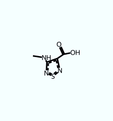 CNc1nsnc1C(=O)O